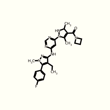 CCc1c(Nc2cc(N3NC(C)C(C(=O)N4CCC4)=C3C)ncn2)nn(C)c1-c1ccc(F)cc1